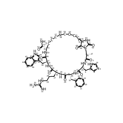 C[C@@H]1C(=O)N[C@@H](Cc2cnc[nH]2)C(=O)N[C@H](Cc2ccccc2)C(=O)N[C@@H](CCCNC(=N)N)C(=O)N[C@@H](Cc2c[nH]c3ccccc23)C(=O)N[C@H](C(N)=O)CCCNCOCC[C@@H]2NC(=O)N1C2=O